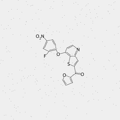 O=C(c1ccco1)c1cc2nccc(Oc3ccc([N+](=O)[O-])cc3F)c2s1